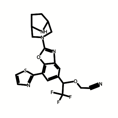 N#CCOC(c1cc(-c2nccs2)c2oc(N3CC4CCC(C3)N4)nc2c1)C(F)(F)F